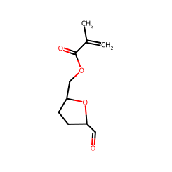 C=C(C)C(=O)OCC1CCC(C=O)O1